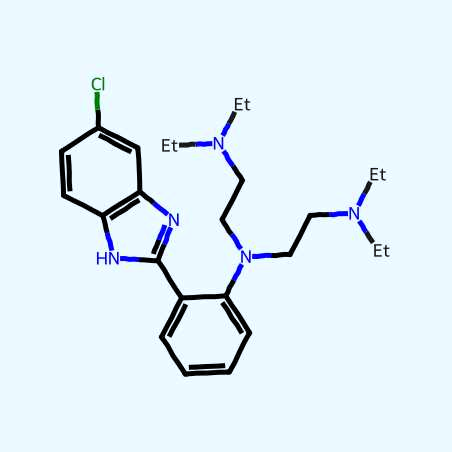 CCN(CC)CCN(CCN(CC)CC)c1ccccc1-c1nc2cc(Cl)ccc2[nH]1